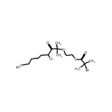 CC(C)OCCCCC(Cl)C(=O)C(C)(C)OCCOC(=O)C(C)(C)Br